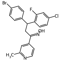 Cc1cc(/C(CC(c2ccc(Br)cc2)c2ccc(Cl)cc2F)=N/O)ccn1